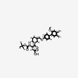 COc1cc(F)c(F)cc1-c1ccc(OCC2CCCN(C(=O)[C@H](CC(=O)O)NC(=O)OC(C)(C)C)C2)cc1